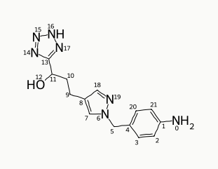 Nc1ccc(Cn2cc(CCC(O)c3nn[nH]n3)cn2)cc1